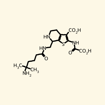 CC(C)(N)CCCC(=O)NCC1NCCc2c1sc(NC(=O)C(=O)O)c2C(=O)O